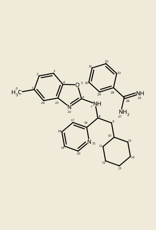 Cc1ccc2oc(NC(CC3CCCCC3)c3ccccn3)nc2c1.N=C(N)c1ccccc1